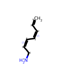 C=C/C=C\C=C/CN